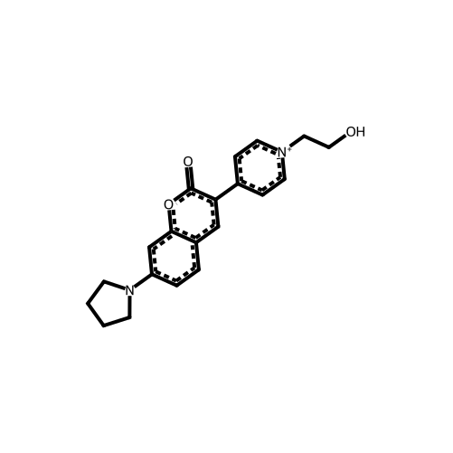 O=c1oc2cc(N3CCCC3)ccc2cc1-c1cc[n+](CCO)cc1